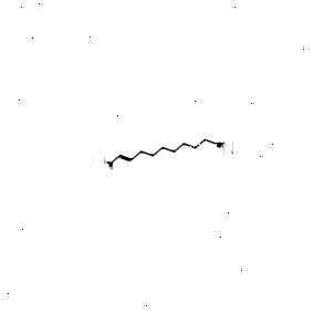 COC(=O)C=CCCCCCCCC#N